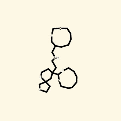 C1CCCCC(CNCCC2(C3CCCCCCCCC3)CCOC3(CCOC3)C2)CCCC1